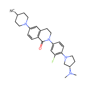 CN(C)[C@@H]1CCN(c2ccc(N3CCc4cc(N5CCC(C#N)CC5)ccc4C3=O)cc2F)C1